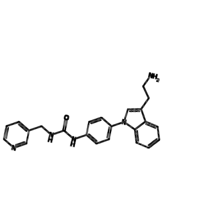 NCCc1cn(-c2ccc(NC(=O)NCc3cccnc3)cc2)c2ccccc12